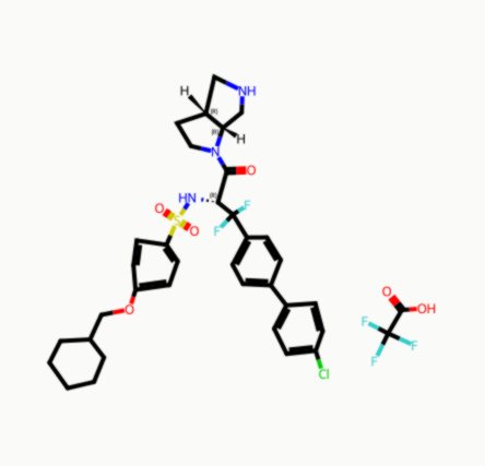 O=C(O)C(F)(F)F.O=C([C@@H](NS(=O)(=O)c1ccc(OCC2CCCCC2)cc1)C(F)(F)c1ccc(-c2ccc(Cl)cc2)cc1)N1CC[C@@H]2CNC[C@@H]21